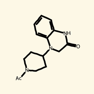 CC(=O)N1CCC(N2CC(=O)Nc3ccccc32)CC1